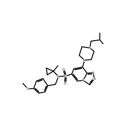 COc1ccc(CN(C2(C)CC2)S(=O)(=O)c2cc(N3CCN(CC(C)C)CC3)c3nncn3c2)cc1